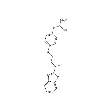 CN(CCOc1ccc(CC(S)C(=O)O)cc1)c1nc2ccccc2o1